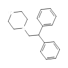 [CH](C(c1ccccc1)c1ccccc1)N1CCNCC1